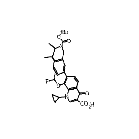 CC1c2ccc(-c3ccc4c(=O)c(C(=O)O)cn(C5CC5)c4c3OC(F)F)cc2CN(C(=O)OC(C)(C)C)C1C